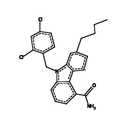 CCCCc1c[c]c2c3c(C(N)=O)cccc3n(Cc3ccc(Cl)cc3Cl)c2c1